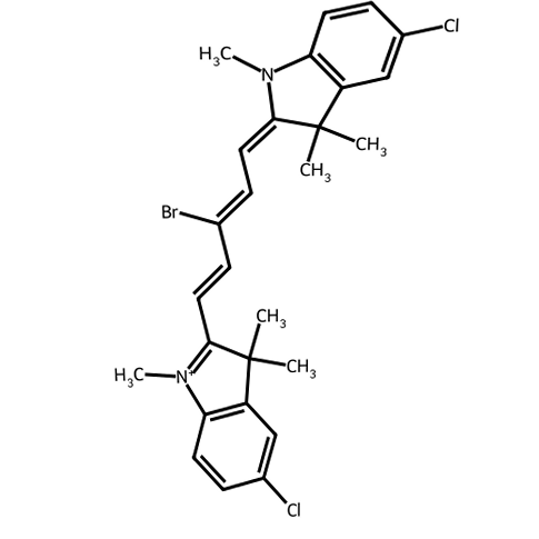 CN1/C(=C/C=C(Br)/C=C/C2=[N+](C)c3ccc(Cl)cc3C2(C)C)C(C)(C)c2cc(Cl)ccc21